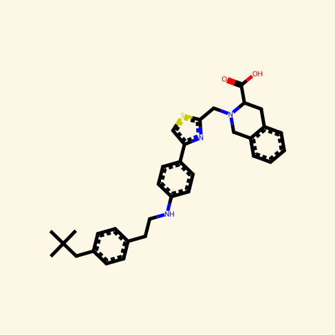 CC(C)(C)Cc1ccc(CCNc2ccc(-c3csc(CN4Cc5ccccc5CC4C(=O)O)n3)cc2)cc1